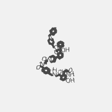 CN(CC(=O)N1CC=C(c2cccc([C@](O)(C(=O)OCC3CCN(Cc4ccccc4)CC3)c3ccccc3)c2)CC1)C(=O)c1ccc(CNC[C@H](O)c2ccc(O)c3[nH]c(=O)ccc23)cc1